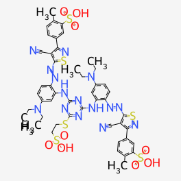 CCN(CC)c1ccc(/N=N/c2snc(-c3ccc(C)c(S(=O)(=O)O)c3)c2C#N)c(Nc2nc(Nc3cc(N(CC)CC)ccc3/N=N/c3snc(-c4ccc(C)c(S(=O)(=O)O)c4)c3C#N)nc(SCCS(=O)(=O)O)n2)c1